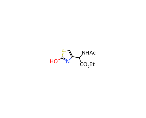 CCOC(=O)C(NC(C)=O)c1csc(O)n1